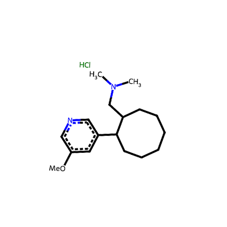 COc1cncc(C2CCCCCCC2CN(C)C)c1.Cl